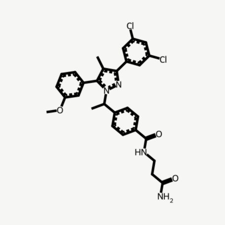 COc1cccc(-c2c(C)c(-c3cc(Cl)cc(Cl)c3)nn2C(C)c2ccc(C(=O)NCCC(N)=O)cc2)c1